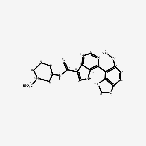 CCCCOc1ccc2c(c1-c1ncnc3c(C(=O)NC4CCCN(C(=O)OCC)C4)c[nH]c13)OCO2